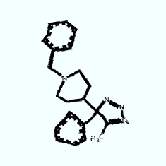 CC1=NN=NC1(c1ccccc1)C1CCN(Cc2ccccc2)CC1